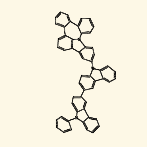 c1ccc(-n2c3ccccc3c3cc(-c4ccc5c(c4)c4ccccc4n5-c4ccc5c(c4)c4cccc6c4n5-c4ccccc4-c4ccccc4-6)ccc32)cc1